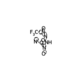 O=C(CN1CCn2c(cc(C(F)(F)F)cc2=O)C1)NC1CN(C2CCOC2)C[C@@H]1OCc1ccccn1